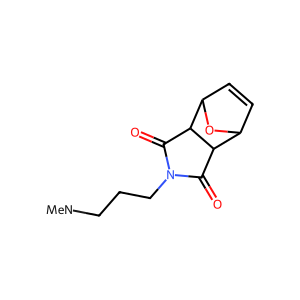 CNCCCN1C(=O)C2C3C=CC(O3)C2C1=O